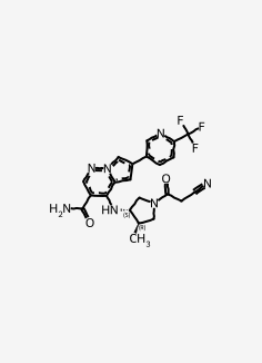 C[C@@H]1CN(C(=O)CC#N)C[C@H]1Nc1c(C(N)=O)cnn2cc(-c3ccc(C(F)(F)F)nc3)cc12